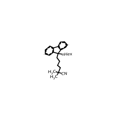 CCCCCCC1(CCCCC(C)(C)C#N)c2c[c]ccc2-c2cc[c]cc21